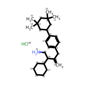 C=C(Cc1ccc(C2CC(C)(C)CC(C)(C)C2)cc1)C(CN)C1CCCCC1.Cl